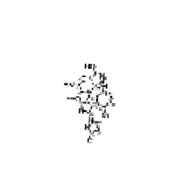 CO[C@@H]1[C@H](S)O[C@@H](CO)[C@@H](O)[C@@]1(c1cc(Br)cnc1C#N)n1cc(-n2ccc(Cl)n2)nn1